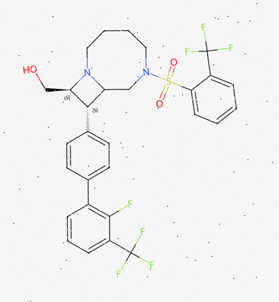 O=S(=O)(c1ccccc1C(F)(F)F)N1CCCCN2C(C1)[C@H](c1ccc(-c3cccc(C(F)(F)F)c3F)cc1)[C@H]2CO